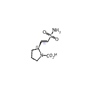 NS(=O)(=O)/C=C/[C@@H]1CCCN1C(=O)O